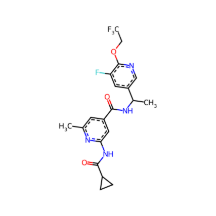 Cc1cc(C(=O)NC(C)c2cnc(OCC(F)(F)F)c(F)c2)cc(NC(=O)C2CC2)n1